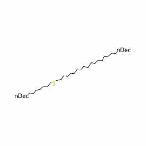 CCCCCCCCCCCCCCCCCCCCCCCCCCCCSCCCCCCCCCCCCCCCCC